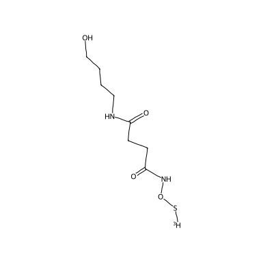 [3H]SONC(=O)CCC(=O)NCCCCO